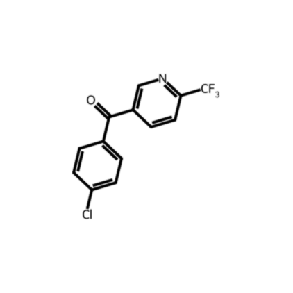 O=C(c1ccc(Cl)cc1)c1ccc(C(F)(F)F)nc1